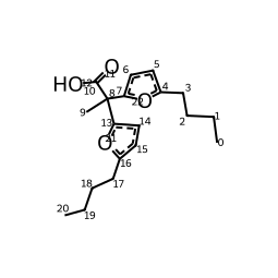 CCCCc1ccc(C(C)(C(=O)O)c2ccc(CCCC)o2)o1